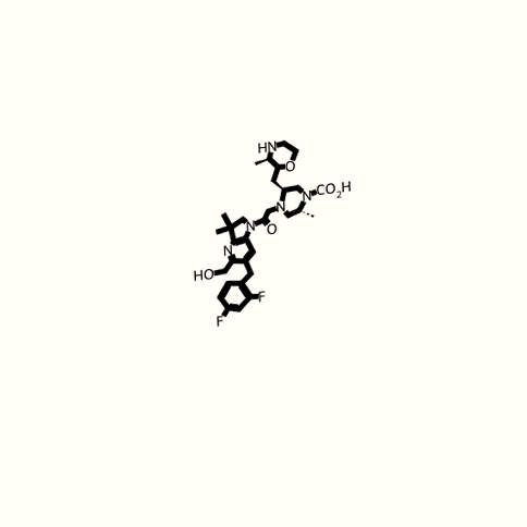 C[C@@H]1CN(CC(=O)N2CC(C)(C)c3nc(CO)c(Cc4ccc(F)cc4F)cc32)[C@@H](CC2OCCN[C@@H]2C)CN1C(=O)O